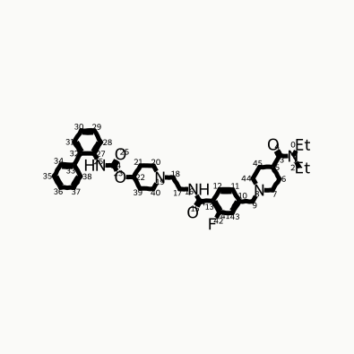 CCN(CC)C(=O)C1CCN(Cc2ccc(C(=O)NCCN3CCC(OC(=O)Nc4ccccc4-c4ccccc4)CC3)c(F)c2)CC1